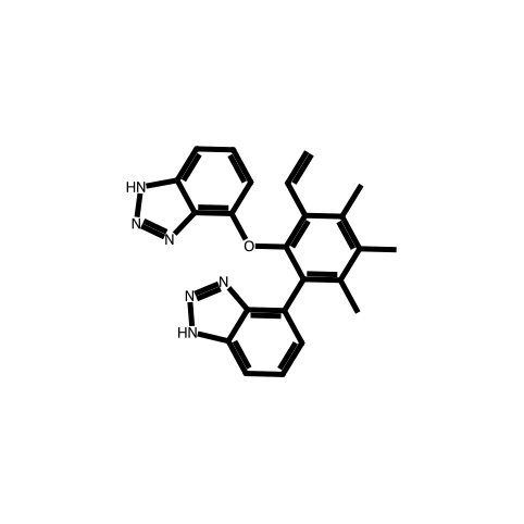 C=Cc1c(C)c(C)c(C)c(-c2cccc3[nH]nnc23)c1Oc1cccc2[nH]nnc12